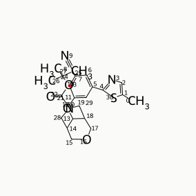 Cc1cnc(-c2cc(C#N)cc(OC3C4COCC3CN(C(=O)OC(C)(C)C)C4)c2)s1